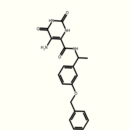 CC(NC(=O)c1[nH]c(=O)[nH]c(=O)c1N)c1cccc(OCc2ccccc2)c1